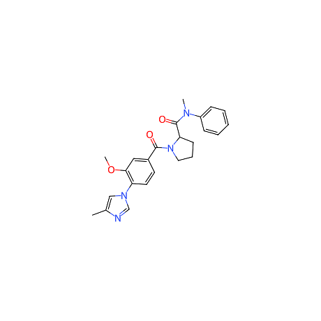 COc1cc(C(=O)N2CCCC2C(=O)N(C)c2ccccc2)ccc1-n1cnc(C)c1